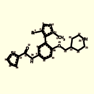 Cn1ncc(Br)c1-c1cc(NC(=O)c2cccs2)ccc1OCC1CCNCC1